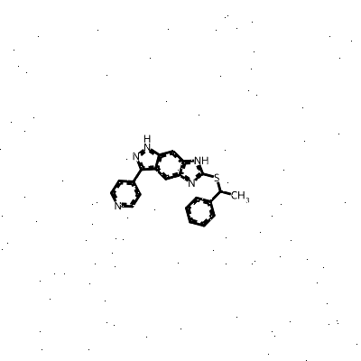 CC(Sc1nc2cc3c(-c4ccncc4)n[nH]c3cc2[nH]1)c1ccccc1